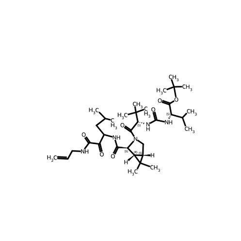 C=CCNC(=O)C(=O)C(CC(C)C)NC(=O)[C@@H]1[C@@H]2[C@H](CN1C(=O)[C@@H](NC(=O)N[C@H](C(=O)OC(C)(C)C)C(C)C)C(C)(C)C)C2(C)C